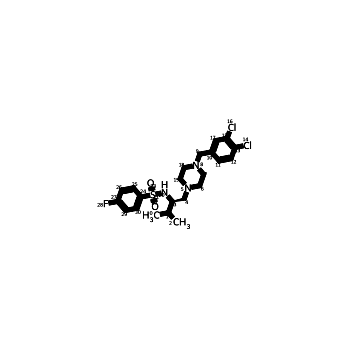 CC(C)[C@H](CN1CCN(Cc2ccc(Cl)c(Cl)c2)CC1)NS(=O)(=O)c1ccc(F)cc1